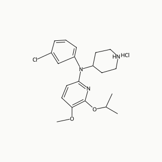 COc1ccc(N(c2cccc(Cl)c2)C2CCNCC2)nc1OC(C)C.Cl